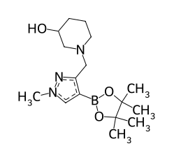 Cn1cc(B2OC(C)(C)C(C)(C)O2)c(CN2CCCC(O)C2)n1